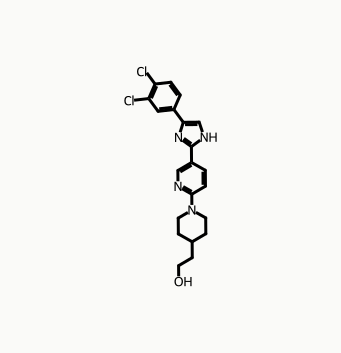 OCCC1CCN(c2ccc(-c3nc(-c4ccc(Cl)c(Cl)c4)c[nH]3)cn2)CC1